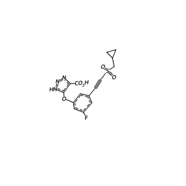 O=C(O)c1nn[nH]c1Oc1cc(F)cc(C#CS(=O)(=O)CC2CC2)c1